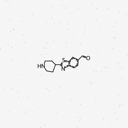 O=Cc1ccc2nc(C3CCNCC3)sc2c1